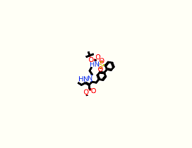 CCCN1NC(CC)=C(C(=O)OC)C1Cc1ccc(-c2ccccc2S(=O)(=O)NC(=O)OC(C)(C)C)cc1